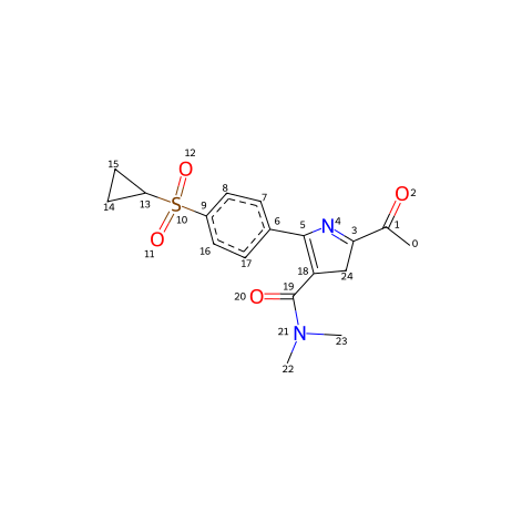 CC(=O)C1=NC(c2ccc(S(=O)(=O)C3CC3)cc2)=C(C(=O)N(C)C)C1